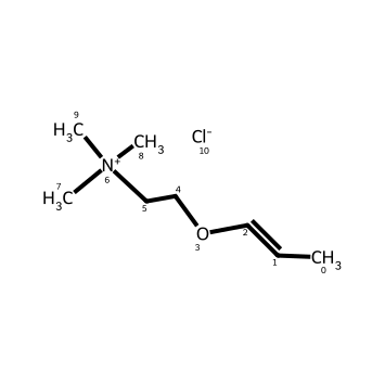 CC=COCC[N+](C)(C)C.[Cl-]